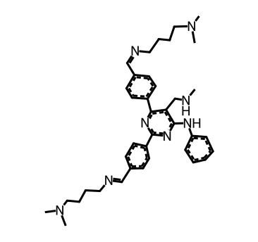 CNCc1c(Nc2ccccc2)nc(-c2ccc(/C=N/CCCCN(C)C)cc2)nc1-c1ccc(/C=N\CCCCN(C)C)cc1